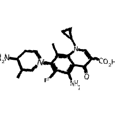 Cc1c(N2CCC(N)C(C)C2)c(F)c(N)c2c(=O)c(C(=O)O)cn(C3CC3)c12